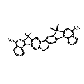 CC1(C)c2cc3c(cc2-c2c1cc(C#N)c1ccccc21)CCc1cc2c(cc1-3)C(C)(C)c1cc(C#N)c3ccccc3c1-2